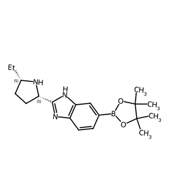 CC[C@H]1CC[C@@H](c2nc3ccc(B4OC(C)(C)C(C)(C)O4)cc3[nH]2)N1